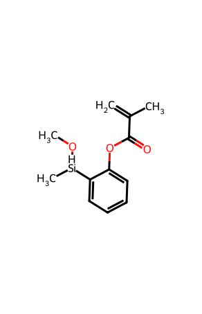 C=C(C)C(=O)Oc1ccccc1[SiH](C)OC